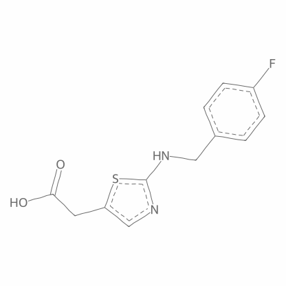 O=C(O)Cc1cnc(NCc2ccc(F)cc2)s1